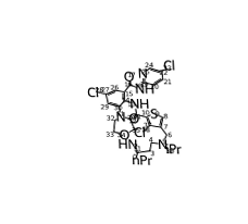 CCCC(=N)CCN(Cc1csc(C(=O)Nc2c(C(=O)Nc3ccc(Cl)cn3)cc(Cl)cc2N2CCOCC2)c1Cl)C(C)C